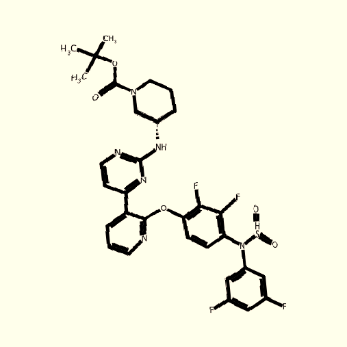 CC(C)(C)OC(=O)N1CCC[C@H](Nc2nccc(-c3cccnc3Oc3ccc(N(c4cc(F)cc(F)c4)[SH](=O)=O)c(F)c3F)n2)C1